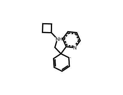 [CH]1C=CC=CC1(CNC1CCC1)c1ccccn1